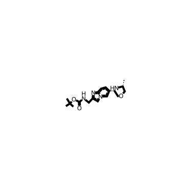 C[C@@H]1COC[C@H](c2ccc3nc(CNC(=O)OC(C)(C)C)cn3c2)N1